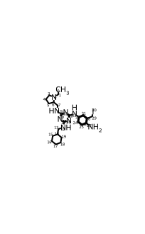 CCN1CCCC1CNc1nc(NCC2CCCCC2)nc(Nc2ccc(N)c(CI)c2)n1